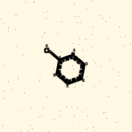 Clc1bcccc1